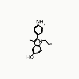 CCCn1c(-c2ccc(N)cc2)c(C)c2cc(O)ccc21